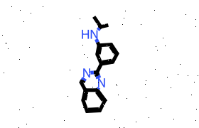 CC(C)Nc1cccc(-c2ncc3ccccc3n2)c1